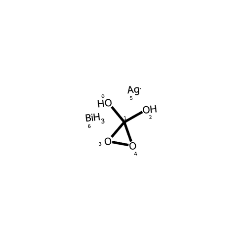 OC1(O)OO1.[Ag].[BiH3]